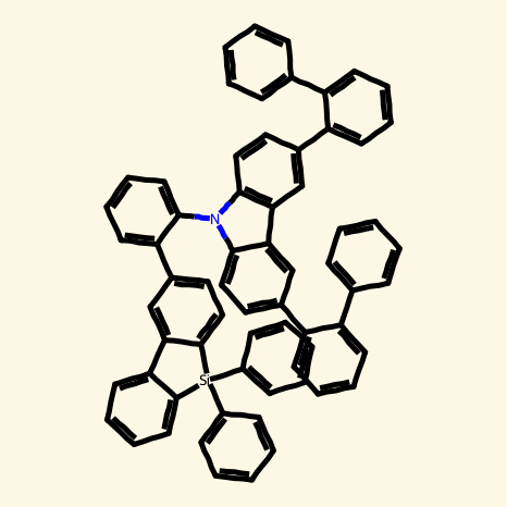 c1ccc(-c2ccccc2-c2ccc3c(c2)c2cc(-c4ccccc4-c4ccccc4)ccc2n3-c2ccccc2-c2ccc3c(c2)-c2ccccc2[Si]3(c2ccccc2)c2ccccc2)cc1